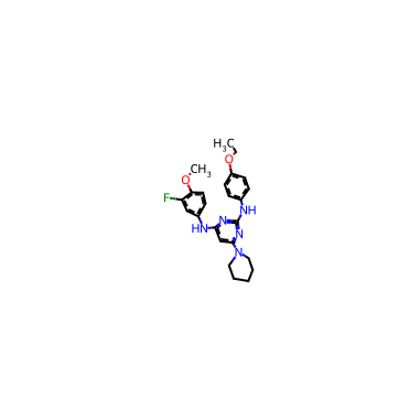 CCOc1ccc(Nc2nc(Nc3ccc(OC)c(F)c3)cc(N3CCCCC3)n2)cc1